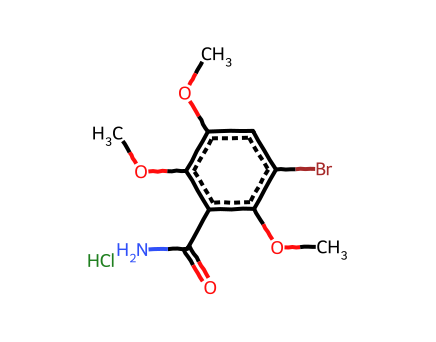 COc1cc(Br)c(OC)c(C(N)=O)c1OC.Cl